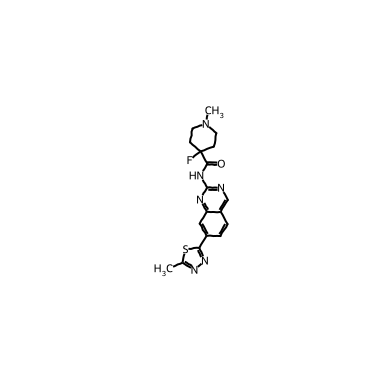 Cc1nnc(-c2ccc3cnc(NC(=O)C4(F)CCN(C)CC4)nc3c2)s1